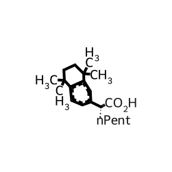 CCCCC[C@@H](C(=O)O)c1ccc2c(c1)C(C)(C)CCC2(C)C